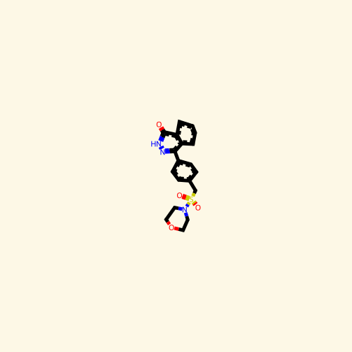 O=c1[nH]nc(-c2ccc(CS(=O)(=O)N3CCOCC3)cc2)c2ccccc12